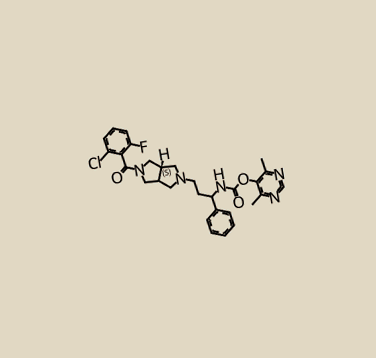 Cc1ncnc(C)c1OC(=O)NC(CCN1CC2CN(C(=O)c3c(F)cccc3Cl)C[C@@H]2C1)c1ccccc1